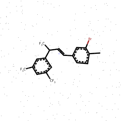 Cc1ccc(/C=C/C(c2cc(C(F)(F)F)cc(C(F)(F)F)c2)C(F)(F)F)cc1Br